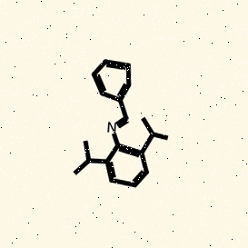 CC(C)c1cccc(C(C)C)c1N=Cc1ccccc1